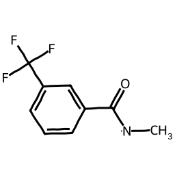 C[N]C(=O)c1cccc(C(F)(F)F)c1